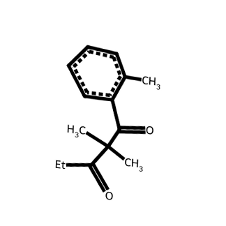 CCC(=O)C(C)(C)C(=O)c1ccccc1C